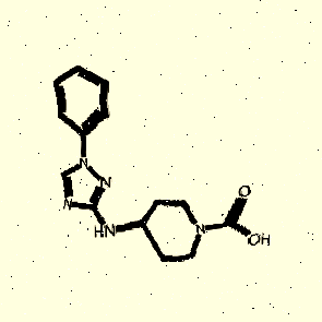 O=C(O)N1CCC(Nc2ncn(-c3ccccc3)n2)CC1